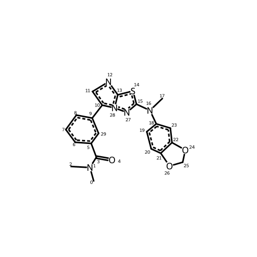 CN(C)C(=O)c1cccc(-c2cnc3sc(N(C)c4ccc5c(c4)OCO5)nn23)c1